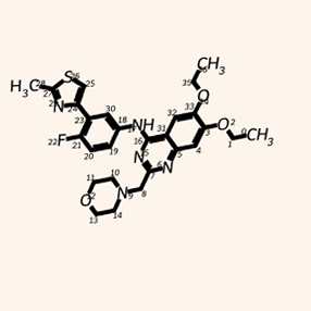 CCOc1cc2nc(CN3CCOCC3)nc(Nc3ccc(F)c(-c4csc(C)n4)c3)c2cc1OCC